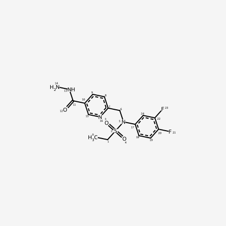 CCS(=O)(=O)N(Cc1ccc(C(=O)NN)cn1)c1ccc(F)c(F)c1